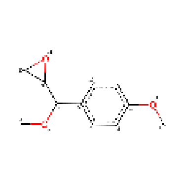 COc1ccc(C(OC)C2CO2)cc1